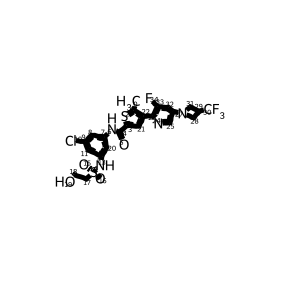 Cc1sc(C(=O)Nc2cc(Cl)cc(NS(=O)(=O)CCO)c2)cc1-c1ncc(N2CC(C(F)(F)F)C2)cc1F